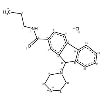 CCCNC(=O)c1ccc2c(c1)C(N1CCNCC1)c1ccccc1-2.Cl